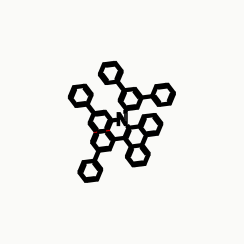 c1ccc(-c2cccc(-c3c(N(c4cccc(-c5ccccc5)c4)c4cc(-c5ccccc5)cc(-c5ccccc5)c4)c4ccccc4c4ccccc34)c2)cc1